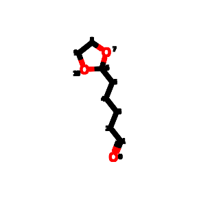 O=CCCCCC1OCCO1